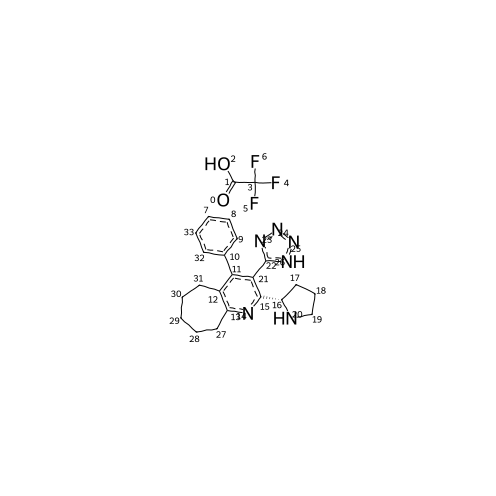 O=C(O)C(F)(F)F.c1ccc(-c2c3c(nc([C@@H]4CCCN4)c2-c2nnn[nH]2)CCCCC3)cc1